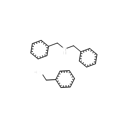 CCc1ccccc1.c1ccc(CNCc2ccccc2)cc1